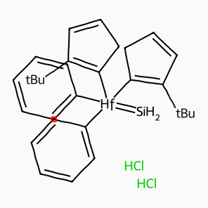 CC(C)(C)C1=[C]([Hf](=[SiH2])([C]2=C(C(C)(C)C)C=CC2)([c]2ccccc2)[c]2ccccc2)CC=C1.Cl.Cl